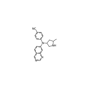 CC1CC(N(c2ccc(C#N)cc2)c2ccc3cncnc3c2)CN1